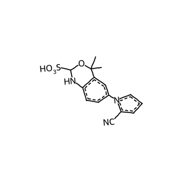 CC1(C)OC(S(=O)(=O)O)Nc2ccc(-n3cccc3C#N)cc21